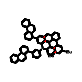 CC(C)(C)c1cc(-c2cccc3cccc(-c4ccccc4N(c4cccc(-c5cccc6c5ccc5ccccc56)c4)c4cccc(-c5cccc6c5ccc5ccccc56)c4)c23)cc(C(C)(C)C)c1